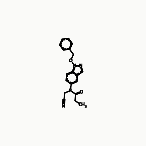 CCC(=O)N(CC#N)c1ccc2c(cnn2OCc2ccccc2)c1